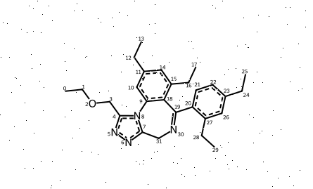 CCOCc1nnc2n1-c1cc(CC)cc(CC)c1C(c1ccc(CC)cc1CC)=NC2